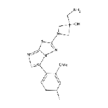 COC1=CC(C)CC=C1c1cnc2sc(N3CC(O)(CN)C3)nn12